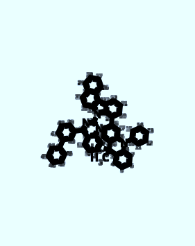 CC1(C)c2ccccc2N(c2ccccc2)c2cc(-c3cccc4c5c6ccccc6ccc5n(-c5nc(-c6cccc(-c7ccccc7)c6)c6ccccc6n5)c34)ccc21